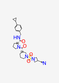 N#CC1CN(S(=O)(=O)N2CCC[C@H](C(=O)N3CCC[C@@H]3C(=O)NCc3ccc(C4CC4)cc3)C2)C1